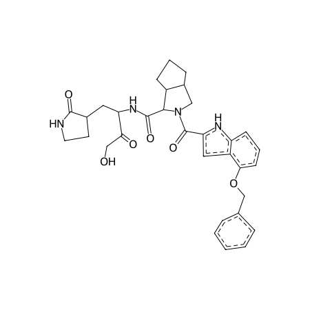 O=C1NCCC1CC(NC(=O)C1C2CCCC2CN1C(=O)c1cc2c(OCc3ccccc3)cccc2[nH]1)C(=O)CO